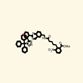 COC(=O)c1cccc([N+](=O)[O-])c1CCCCC(=O)NCc1ccc2nc(-c3ccccc3-c3nnnn3C(c3ccccc3)(c3ccccc3)c3ccccc3)ncc2c1